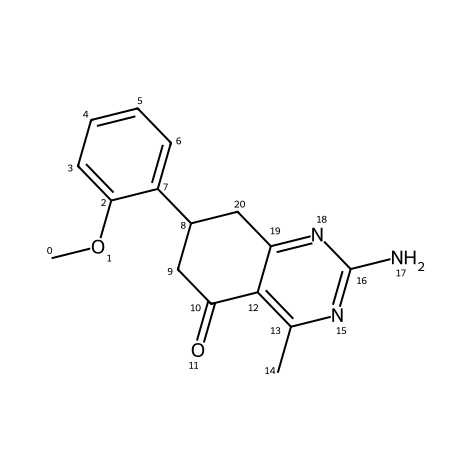 COc1ccccc1C1CC(=O)c2c(C)nc(N)nc2C1